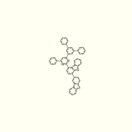 c1ccc(-c2cc(-c3ccccc3)cc(-c3cc(-c4ccccc4)nc(-c4ccc(-c5ccc6sc7ccccc7c6c5)c5oc6ccccc6c45)n3)c2)cc1